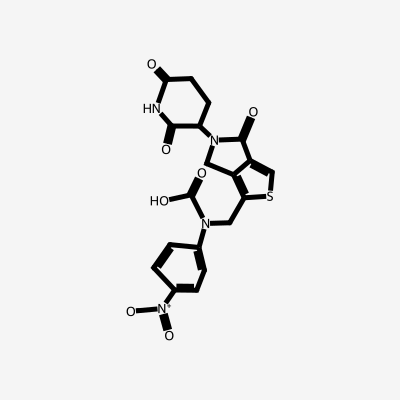 O=C1CCC(N2Cc3c(csc3CN(C(=O)O)c3ccc([N+](=O)[O-])cc3)C2=O)C(=O)N1